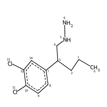 CCCC(CNN)c1ccc(Cl)c(Cl)c1